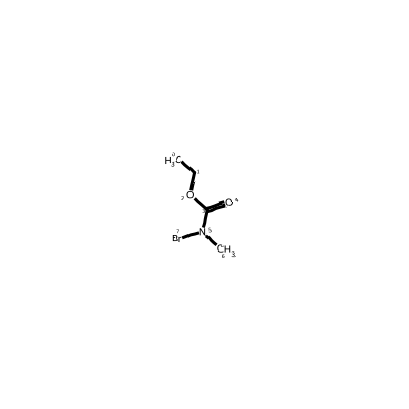 CCOC(=O)N(C)Br